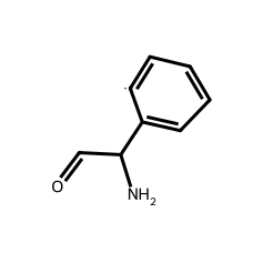 NC(C=O)c1[c]cccc1